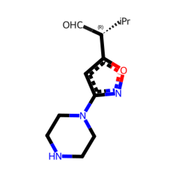 CC(C)[C@@H](C=O)c1cc(N2CCNCC2)no1